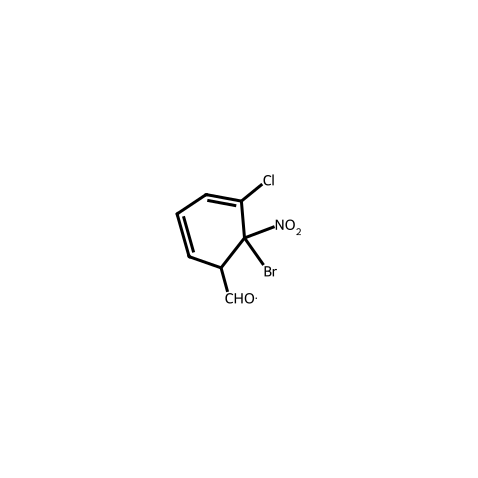 O=[C]C1C=CC=C(Cl)C1(Br)[N+](=O)[O-]